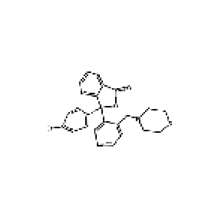 CCc1ccc(C2(c3ccccc3CN3CCSCC3)OC(=O)c3ccccc32)cc1